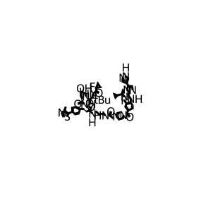 Cc1ncsc1-c1ccc([C@H](CC(=O)NCCCNC(=O)CN2CCN(C(=O)c3ccc(Nc4nc(C5CC5)cn5c(-c6cn[nH]c6)cnc45)c(F)c3)CC2)NC(=O)[C@@H]2C[C@@H](O)CN2C(=O)[C@@H](NC(=O)C2(F)CC2)C(C)(C)C)cc1